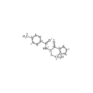 CCOC(=O)CC(NC(=O)c1ccc(C)cc1)C(=O)c1ccco1